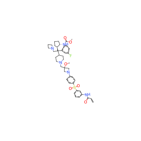 C=CC(=O)Nc1cccc(S(=O)(=O)c2ccc(N3CC(CN4CCC(C(CN5CCC5)(c5cccc(F)c5)[C@H]5CCC[C@@H]5NC(=O)OC)CC4)(OC)C3)cc2)c1